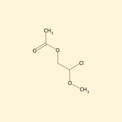 COC(Cl)COC(C)=O